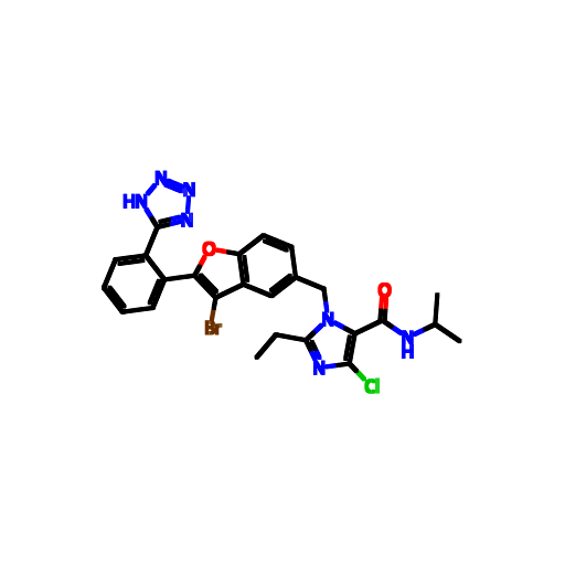 CCc1nc(Cl)c(C(=O)NC(C)C)n1Cc1ccc2oc(-c3ccccc3-c3nnn[nH]3)c(Br)c2c1